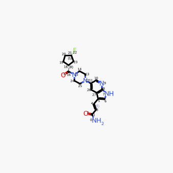 NC(=O)/C=C/c1c[nH]c2ncc(N3CCN(C(=O)[C@@H]4CC[C@H](F)C4)CC3)cc12